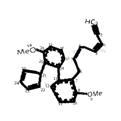 C#C/C=C\C=C/Cc1c(OC)cccc1-c1cccc(OC)c1C1C=CC=C1